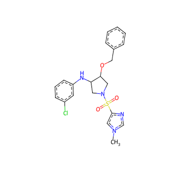 Cn1cnc(S(=O)(=O)N2CC(Nc3cccc(Cl)c3)C(OCc3ccccc3)C2)c1